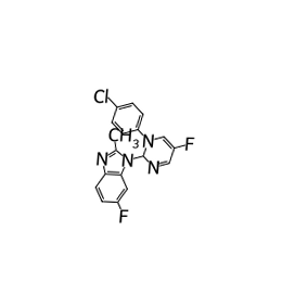 Cc1nc2ccc(F)cc2n1C1N=CC(F)=CN1c1ccc(Cl)cc1